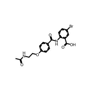 CC(=O)NCCOc1ccc(C(=O)Nc2ccc(Br)cc2C(=O)O)cc1